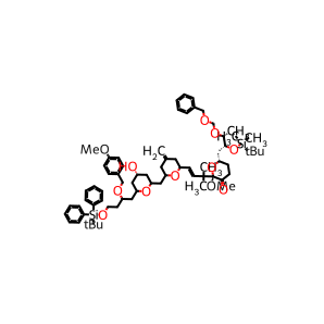 C=C1CC(C=CC(C)(C)[C@]2(OC)O[C@H](C[C@@H](O[Si](C)(C)C(C)(C)C)[C@@H](C)OCOCc3ccccc3)CCC2=O)OC(CC2C[C@@H](O)CC(CC(CCO[Si](c3ccccc3)(c3ccccc3)C(C)(C)C)OCc3ccc(OC)cc3)O2)C1